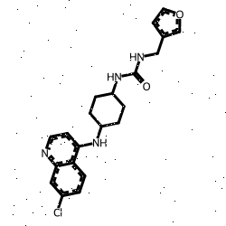 O=C(NCc1ccoc1)NC1CCC(Nc2ccnc3cc(Cl)ccc23)CC1